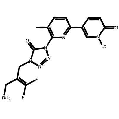 CCn1cc(-c2ccc(C)c(-n3nnn(CC(CN)=C(F)F)c3=O)n2)ccc1=O